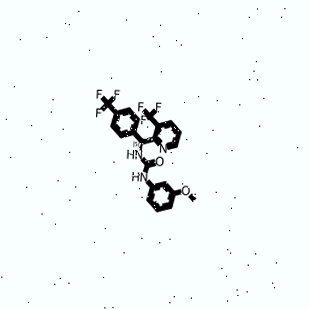 COc1cccc(NC(=O)N[C@@H](c2ccc(C(F)(F)F)cc2)c2ncccc2C(F)(F)F)c1